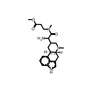 COC(=O)CCN(C)C(=O)C(N)C1C[C@@H]2c3cccc4[nH]cc(c34)C[C@H]2N(C)C1